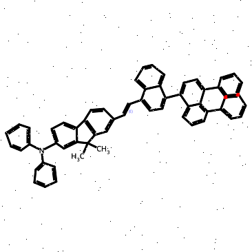 CC1(C)c2cc(/C=C/c3ccc(-c4ccc(-c5ccccc5)c5c(-c6ccccc6)cccc45)c4ccccc34)ccc2-c2ccc(N(c3ccccc3)c3ccccc3)cc21